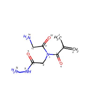 C=C(C)C(=O)N(CC(=O)NN)C(=O)CN